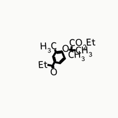 CCOC(=O)C(C)(C)Oc1ccc(C(=O)CC)cc1C